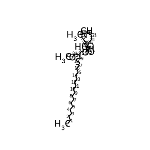 CCCCCCCCCCCCCCCCCCSCC(COC)COP(=O)(O)OC1CCC[N+](C)(C)CC1